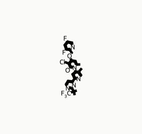 Cc1cnc(-c2ccnc(C(C)(C)C(F)(F)F)n2)cc1-n1c(C)cc(OCc2ncc(F)cc2F)c(Cl)c1=O